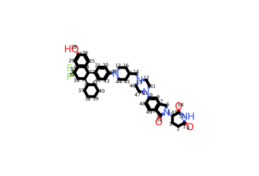 O=C1CC[C@H](N2Cc3cc(N4CCN(CC5CCN(c6ccc([C@@H]7c8ccc(O)cc8C(F)(F)C[C@@H]7C7CCCCC7)cc6)CC5)CC4)ccc3C2=O)C(=O)N1